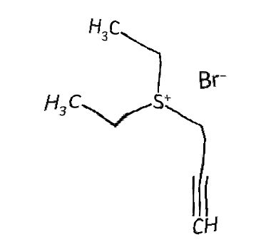 C#CC[S+](CC)CC.[Br-]